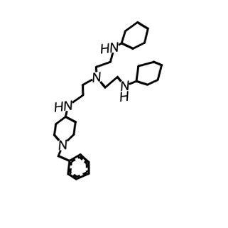 c1ccc(CN2CCC(NCCN(CCNC3CCCCC3)CCNC3CCCCC3)CC2)cc1